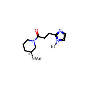 CCn1ccnc1CCC(=O)N1CCC[C@H](NC)C1